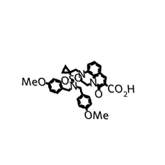 COc1ccc(CN(Cc2ccc(OC)cc2)S(=O)(=O)C2(CN3CCn4c(=O)c(C(=O)O)cc5cccc3c54)CC2)cc1